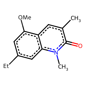 CCc1cc(OC)c2cc(C)c(=O)n(C)c2c1